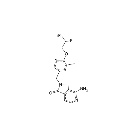 Cc1cc(CN2Cc3c(ccnc3N)C2=O)cnc1OCC(F)C(C)C